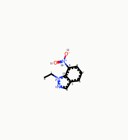 CCn1ncc2cccc([N+](=O)[O-])c21